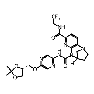 CC1(C)OC[C@@H](COc2cnc(NC(=O)N3c4nc(C(=O)NCC(F)(F)F)ccc4N4CC[C@H]3C4)cn2)O1